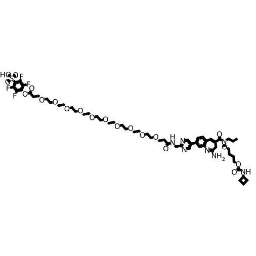 CCCN(OCCCCOC(=O)NC1CCC1)C(=O)C1=Cc2ccc(-c3cnc(CNC(=O)CCOCCOCCOCCOCCOCCOCCOCCOCCOCCOCCC(=O)Oc4c(F)c(F)c(S(=O)(=O)O)c(F)c4F)nc3)cc2N=C(N)C1